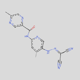 Cc1cnc(C(=O)Nc2cc(C)c(NN=C(C#N)C#N)cn2)cn1